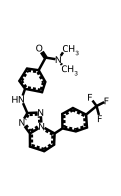 CN(C)C(=O)c1ccc(Nc2nc3cccc(-c4ccc(C(F)(F)F)cc4)n3n2)cc1